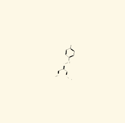 O/N=C/C(/C=N/O)=NNc1ccc(F)cc1